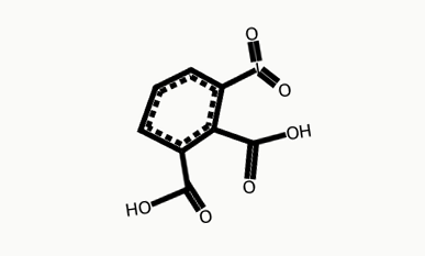 O=C(O)c1cccc(I(=O)=O)c1C(=O)O